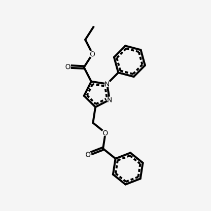 CCOC(=O)c1cc(COC(=O)c2ccccc2)nn1-c1ccccc1